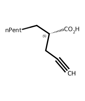 C#CC[C@H](CCCCCC)C(=O)O